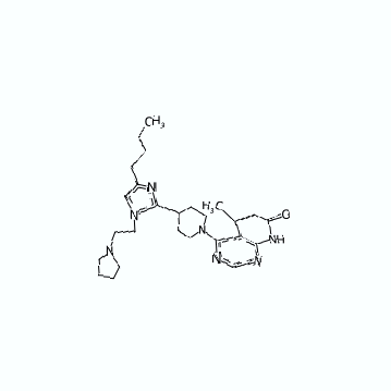 CCCCc1cn(CCN2CCCC2)c(C2CCN(c3ncnc4c3C(C)CC(=O)N4)CC2)n1